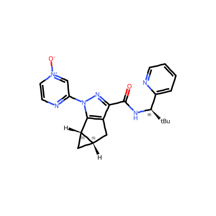 CC(C)(C)[C@@H](NC(=O)c1nn(-c2c[n+]([O-])ccn2)c2c1C[C@@H]1C[C@H]21)c1ccccn1